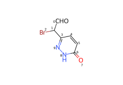 O=CC(Br)c1ccc(=O)[nH]n1